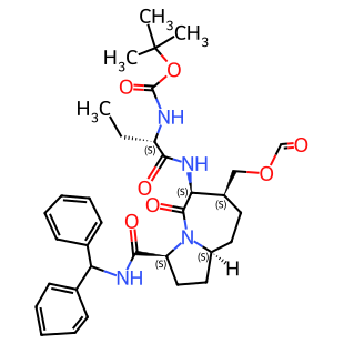 CC[C@H](NC(=O)OC(C)(C)C)C(=O)N[C@@H]1C(=O)N2[C@@H](CC[C@@H]1COC=O)CC[C@H]2C(=O)NC(c1ccccc1)c1ccccc1